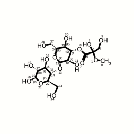 COC(O)(CO)C(=O)O[C@@H]1[C@@H](O)[C@@H](O[C@H]2[C@H](O)[C@@H](O)[C@H](O)O[C@@H]2CO)O[C@H](CO)[C@H]1O